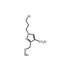 CCOC(=O)c1cn(CCCC(C)=O)nc1COC(C)(C)C